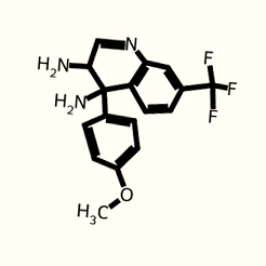 COc1ccc(C2(N)c3ccc(C(F)(F)F)cc3N=CC2N)cc1